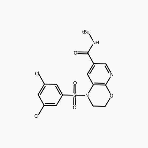 CC(C)(C)NC(=O)c1cnc2c(c1)N(S(=O)(=O)c1cc(Cl)cc(Cl)c1)CCO2